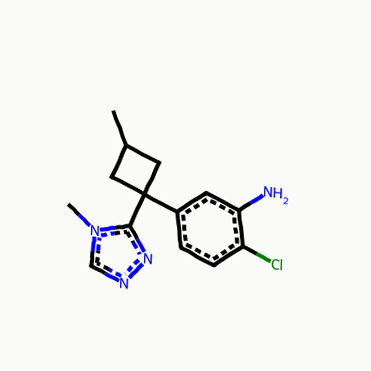 CC1CC(c2ccc(Cl)c(N)c2)(c2nncn2C)C1